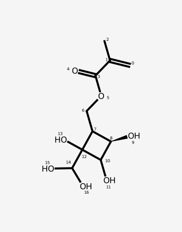 C=C(C)C(=O)OCC1[C@@H](O)C(O)C1(O)C(O)O